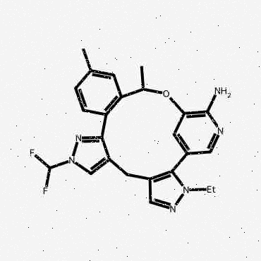 CCn1ncc2c1-c1cnc(N)c(c1)OC(C)c1cc(C)ccc1-c1nn(C(F)F)cc1C2